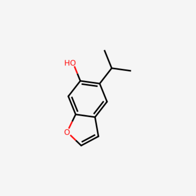 CC(C)c1cc2ccoc2cc1O